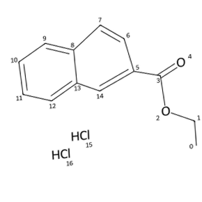 CCOC(=O)c1ccc2ccccc2c1.Cl.Cl